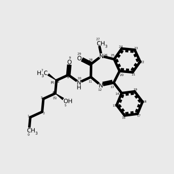 CCCC[C@H](O)[C@@H](C)C(=O)NC1N=C(c2ccccc2)c2ccccc2N(C)C1=O